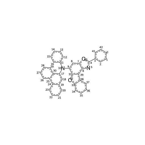 c1ccc(-c2nc3c(cc(N(c4ccccc4)c4cc5ccccc5c5ccccc45)c4oc5ccccc5c43)o2)cc1